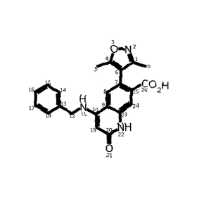 Cc1noc(C)c1-c1cc2c(NCc3ccccc3)cc(=O)[nH]c2cc1C(=O)O